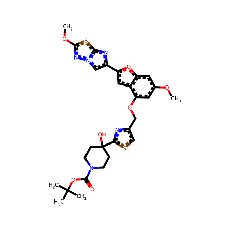 COc1cc(OCc2csc(C3(O)CCN(C(=O)OC(C)(C)C)CC3)n2)c2cc(-c3cn4nc(OC)sc4n3)oc2c1